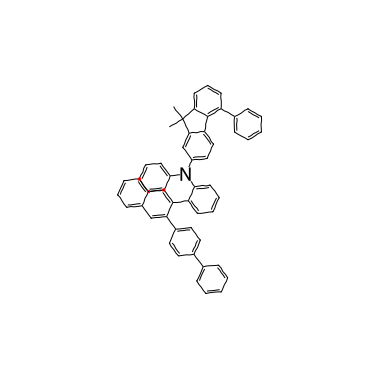 CC1(C)c2cc(N(c3ccccc3)c3ccccc3-c3cc4ccccc4cc3-c3ccc(-c4ccccc4)cc3)ccc2-c2c(-c3ccccc3)cccc21